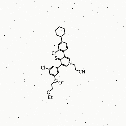 CCOCC[S+]([O-])c1cc(Cl)cc(-c2cn(CCC#N)cc(-c3ccc(C4CCCCC4)cc3Cl)c2=S)c1